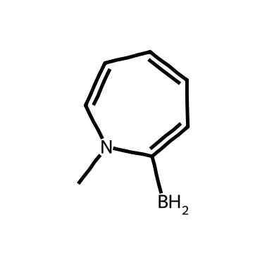 BC1=CC=CC=CN1C